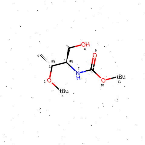 C[C@@H](OC(C)(C)C)[C@@H](CO)NC(=O)OC(C)(C)C